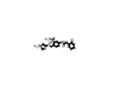 Cn1cnc(OCc2ccc(NC(=O)Cc3ccccc3Cl)cc2S(N)(=O)=O)c1